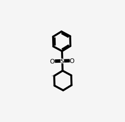 O=S(=O)(c1ccccc1)C1[CH]CCCC1